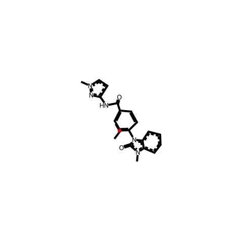 C\C=C(/C=C\C(=C/CC)C(=O)Nc1ccn(C)n1)n1c(=O)n(C)c2ccccc21